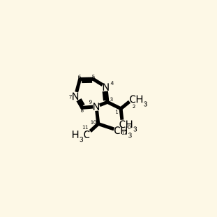 CC(C)C1=NC=CN=CN1C(C)C